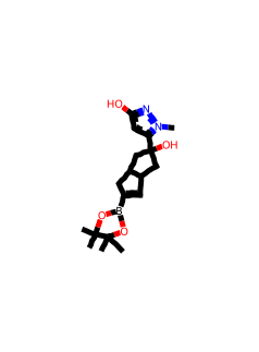 Cn1nc(O)cc1C1(O)CC2C=C(B3OC(C)(C)C(C)(C)O3)CC2C1